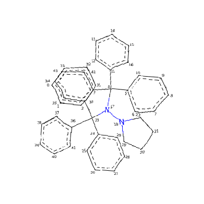 c1ccc(C(c2ccccc2)(c2ccccc2)N(N2CCCC2)C(c2ccccc2)(c2ccccc2)c2ccccc2)cc1